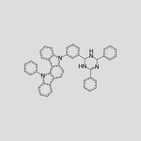 c1ccc(C2=NC(c3ccccc3)NC(c3cccc(-n4c5ccccc5c5c4ccc4c6ccccc6n(-c6ccccc6)c45)c3)N2)cc1